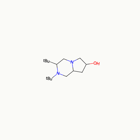 CC(C)(C)C1CN2CC(O)CC2CN1C(C)(C)C